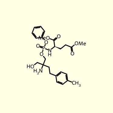 COC(=O)CC[C@@H](NP(=O)(OCC(N)(CO)CCc1ccc(C)cc1)Oc1ccccc1)C(=O)OC